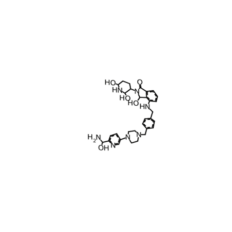 NC(O)c1ccc(N2CCN(Cc3ccc(CNc4cccc5c4C(O)N(C4CCC(O)NC4O)C5=O)cc3)CC2)cn1